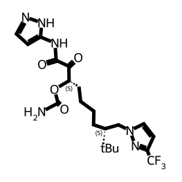 CC(C)(C)[C@H](CCCC[C@H](OC(N)=O)C(=O)C(=O)Nc1ccn[nH]1)Cn1ccc(C(F)(F)F)n1